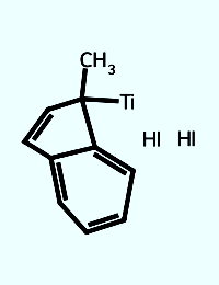 C[C]1([Ti])C=Cc2ccccc21.I.I